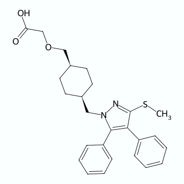 CSc1nn(C[C@H]2CC[C@@H](COCC(=O)O)CC2)c(-c2ccccc2)c1-c1ccccc1